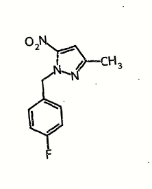 Cc1cc([N+](=O)[O-])n(Cc2ccc(F)cc2)n1